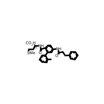 CSCC[C@H](NC(=O)c1ccc(NC(=O)CCc2ccccc2)cc1-c1ccccc1C)C(=O)O